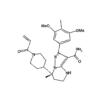 C=CC(=O)N1CCC([C@@]2(C)CCNc3c(C(N)=O)c(-c4cc(OC)c(C)c(OC)c4)nn32)CC1